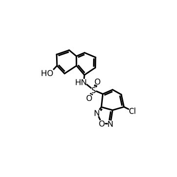 O=S(=O)(Nc1cccc2ccc(O)cc12)c1ccc(Cl)c2nonc12